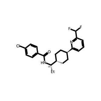 CC[C@H](NC(=O)c1ccc(Cl)cc1)[C@H]1CC[C@H](c2cccc(C(F)F)n2)CC1